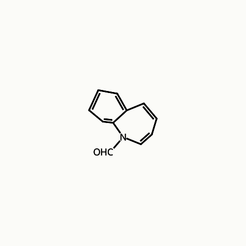 O=CN1C=CC=Cc2ccccc21